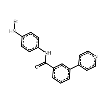 CCNc1ccc(NC(=O)c2cccc(-c3ccncc3)c2)cc1